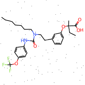 CCCCCCCN(CCc1cccc(OC(C)(CC)C(=O)O)c1)C(=O)Nc1ccc(OC(F)(F)F)cc1